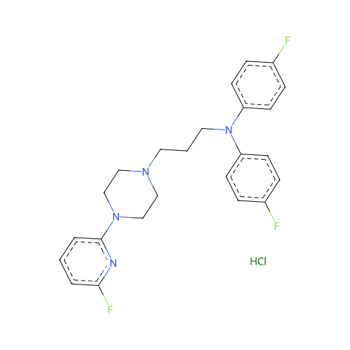 Cl.Fc1ccc(N(CCCN2CCN(c3cccc(F)n3)CC2)c2ccc(F)cc2)cc1